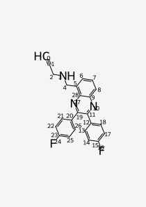 C#CCNCc1cccc2nc(-c3ccc(F)cc3)c(-c3ccc(F)cc3)nc12